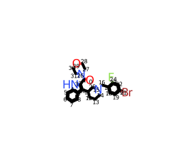 O=C(c1[nH]c2ccccc2c1C1CCCN(Cc2ccc(Br)cc2F)C1)N1CCOCC1